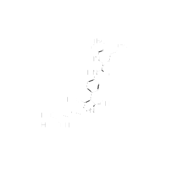 CC[C@@H](C)CCC[C@H](NC(=O)OC(C)(C)C)C(=O)Nc1ccc(-c2c(C)nn(COCCS(C)(C)C)c2C)cc1